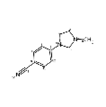 CN1CCN(c2ccc(C#N)cc2)C1